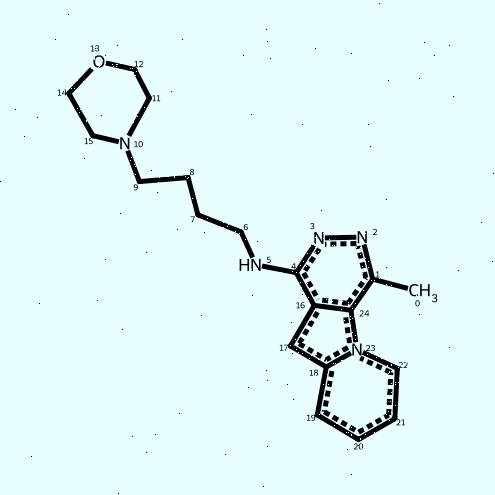 Cc1nnc(NCCCCN2CCOCC2)c2cc3ccccn3c12